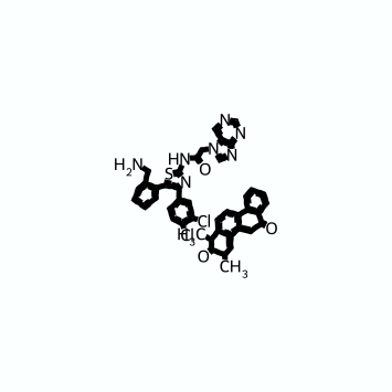 CC1C=c2c(ccc3c2=CC(=O)c2ccccc2-3)C(C)C1=O.NCc1ccccc1-c1sc(NC(=O)Cn2cnc3ncncc32)nc1-c1ccc(Cl)c(Cl)c1